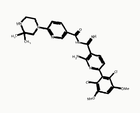 COc1cc(OC)c(Cl)c(-c2ccc(C(=N)NC(=O)c3ccc(N4CCNC(C)(C)C4)nc3)c(N)n2)c1Cl